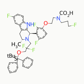 C[C@@H]1Cc2c([nH]c3ccc(F)cc23)[C@@H](c2c(F)ccc(OCCN(CCCF)C(=O)O)c2F)N1CC(F)(F)CO[Si](c1ccccc1)(c1ccccc1)C(C)(C)C